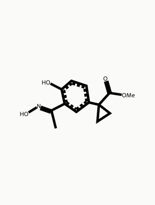 COC(=O)C1(c2ccc(O)c(/C(C)=N/O)c2)CC1